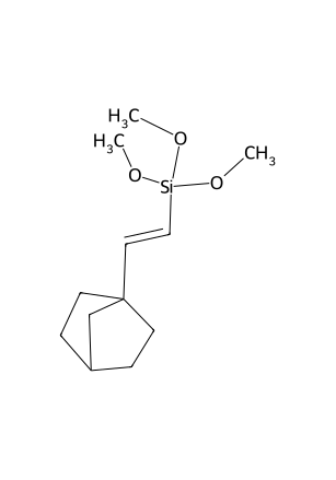 CO[Si](C=CC12CCC(CC1)C2)(OC)OC